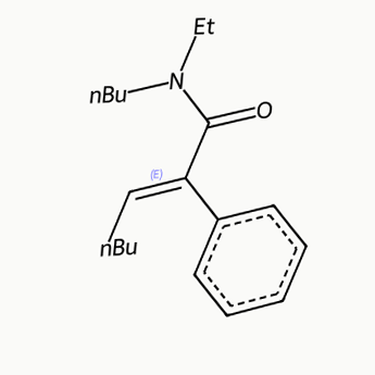 CCCC/C=C(/C(=O)N(CC)CCCC)c1ccccc1